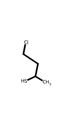 CC(S)CCCl